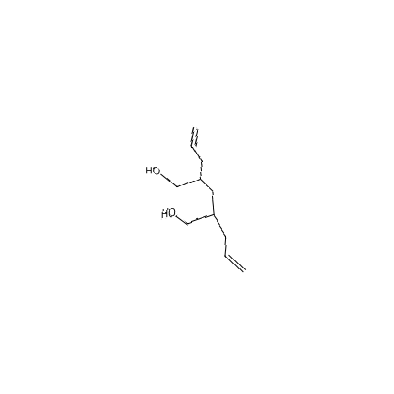 C=CCC(CO)CC(CO)CC=C